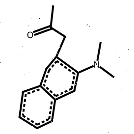 CC(=O)Cc1cc2ccccc2cc1N(C)C